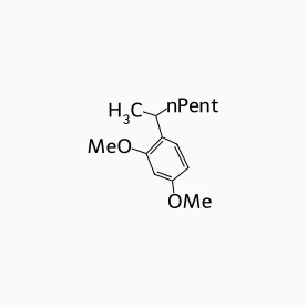 CCCCCC(C)c1ccc(OC)cc1OC